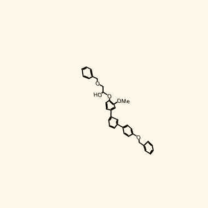 COc1cc(-c2cccc(-c3ccc(OCc4ccccc4)cc3)c2)ccc1OC(O)COCc1ccccc1